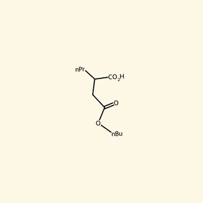 CCCCOC(=O)CC(CCC)C(=O)O